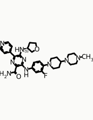 CN1CCN(C2CCN(c3ccc(Nc4nc(N[C@H]5CCOC5)c(-c5ccncc5)nc4C(N)=O)cc3F)CC2)CC1